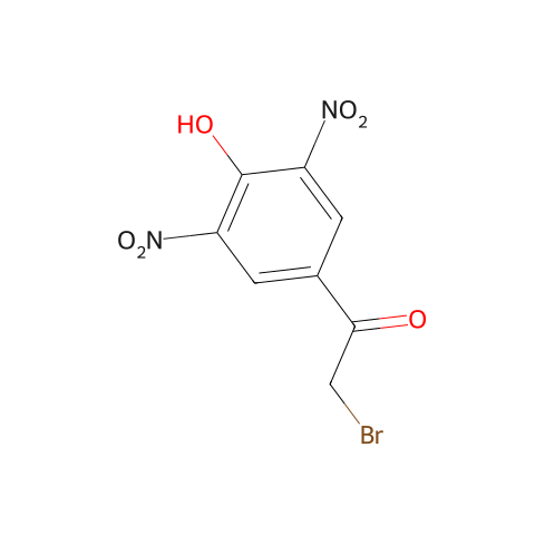 O=C(CBr)c1cc([N+](=O)[O-])c(O)c([N+](=O)[O-])c1